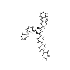 c1ccc(-c2ccc(-c3ccc(-c4cc(-c5ccc6sc7ccccc7c6c5)nc(-c5cccc(-c6cccnc6)c5)n4)cc3)cc2)cc1